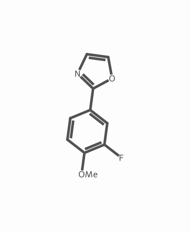 COc1ccc(-c2ncco2)cc1F